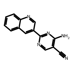 N#Cc1cnc(-c2cnc3ccccc3c2)nc1N